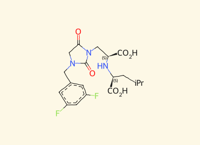 CC(C)C[C@H](N[C@@H](CN1C(=O)CN(Cc2cc(F)cc(F)c2)C1=O)C(=O)O)C(=O)O